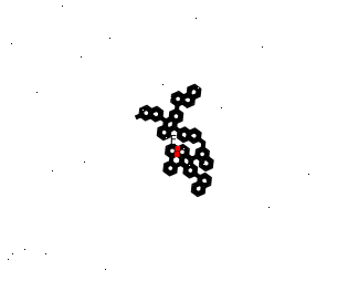 Cc1ccc2ccc(-c3c4ccccc4c(-c4ccc5cc(Cc6cc(-c7c8ccccc8c(-c8ccccc8-c8ccc(F)cc8)c8ccc(-c9cccc%10ccccc9%10)cc78)c7ccccc7c6)ccc5c4)c4ccc(-c5cccc6c5ccc5ccccc56)cc34)cc2c1